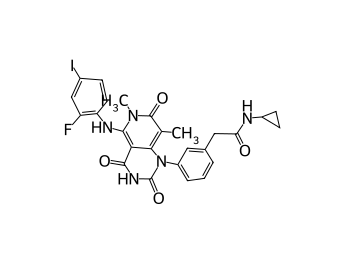 Cc1c(=O)n(C)c(Nc2ccc(I)cc2F)c2c(=O)[nH]c(=O)n(-c3cccc(CC(=O)NC4CC4)c3)c12